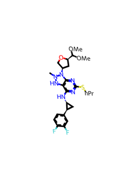 CCCSc1nc(N[C@@H]2C[C@H]2c2ccc(F)c(F)c2)c2c(n1)N([C@H]1CO[C@@H](C(OC)OC)C1)N(C)N2